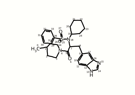 CC1CCN(C(=O)C(Cc2ccc3[nH]cnc3c2)N(C2CCCCC2)S(=O)(=O)c2ccccc2)CC1